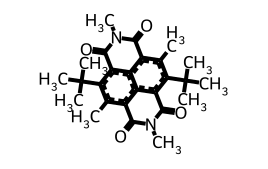 Cc1c(C(C)(C)C)c2c3c(c(C)c(C(C)(C)C)c4c3c1C(=O)N(C)C4=O)C(=O)N(C)C2=O